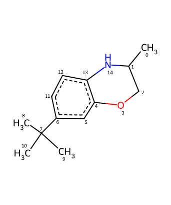 CC1COc2cc(C(C)(C)C)ccc2N1